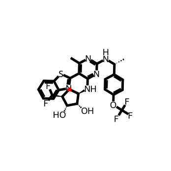 Cc1nc(N[C@H](C)c2ccc(OC(F)(F)F)cc2)nc(N[C@@H]2C[C@H](C(F)F)[C@@H](O)[C@H]2O)c1-c1nc2ccccc2s1